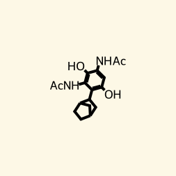 CC(=O)Nc1cc(O)c(C2CC3CCC2C3)c(NC(C)=O)c1O